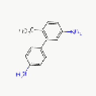 Nc1ccc(-c2cc(N)ccc2C(=O)O)cc1